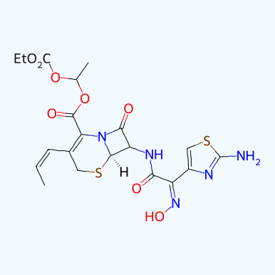 C/C=C\C1=C(C(=O)OC(C)OC(=O)OCC)N2C(=O)C(NC(=O)/C(=N\O)c3csc(N)n3)[C@H]2SC1